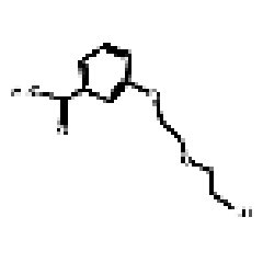 COC(=O)c1cccc(OCCOCCO)c1